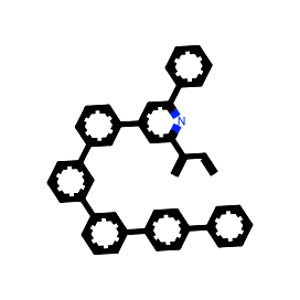 C=CC(=C)c1cc(-c2cccc(-c3cccc(-c4cccc(-c5ccc(-c6ccccc6)cc5)c4)c3)c2)cc(-c2ccccc2)n1